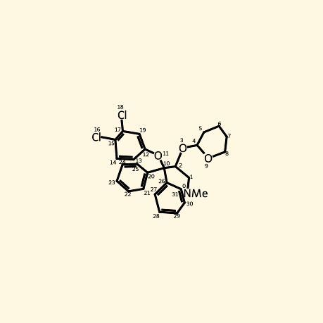 CNCC(OC1CCCCO1)C(Oc1ccc(Cl)c(Cl)c1)(c1ccccc1)c1ccccc1